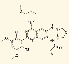 C=CC(=O)N[C@H]1COC[C@H]1Nc1cc2c(N3CCCC(OC)C3)nc(-c3c(Cl)c(OC)cc(OC)c3Cl)nc2cn1